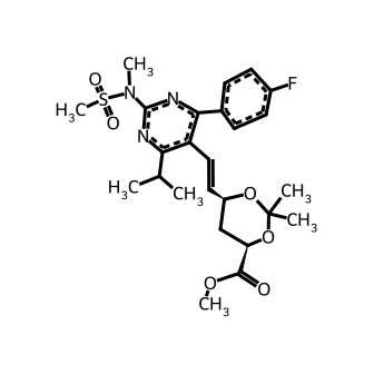 COC(=O)[C@H]1C[C@@H](/C=C/c2c(-c3ccc(F)cc3)nc(N(C)S(C)(=O)=O)nc2C(C)C)OC(C)(C)O1